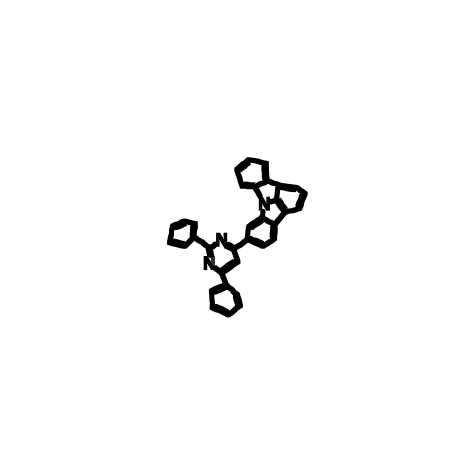 c1ccc(-c2cc(-c3ccc4c5cccc6c7ccccc7n(c4c3)c65)nc(-c3ccccc3)n2)cc1